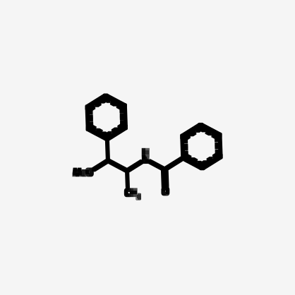 COC(c1ccccc1)C(C)NC(=O)c1ccccc1